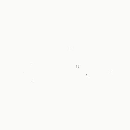 Cc1cc(C)n(-c2ccc(OC(F)(F)F)cc2)n1